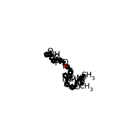 CCOc1nc(OC)cnc1CNCC(=O)N1CCC[C@H](c2cccc(C(=O)N[C@@H](C(=O)N3CCN(CC4CCN(CC(=O)N5CCN(C(=O)c6cc(Cc7n[nH]c(=O)c8ccccc78)ccc6F)CC5)CC4)CC3)C3CCCCC3)c2)C1